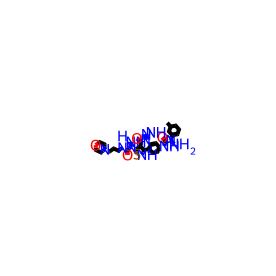 CC1CCC=C(N(N)C(=O)NC2C=CC(C3NSC(N(N)C(=O)NCCCN4CCOCC4)C3C(=O)N=NN)CC2)C1